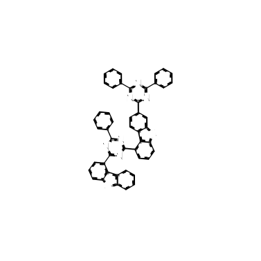 c1ccc(-c2nc(-c3ccccc3)nc(-c3ccc4c(c3)sc3cccc(-c5nc(-c6ccccc6)nc(-c6cccc7oc8ccccc8c67)n5)c34)n2)cc1